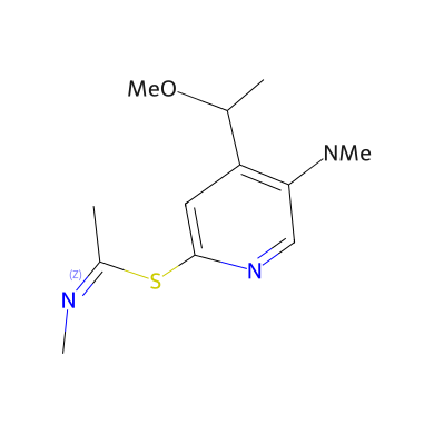 C/N=C(/C)Sc1cc(C(C)OC)c(NC)cn1